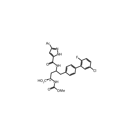 COC(=O)N[C@H](CC(Cc1ccc(-c2cc(Cl)ccc2F)cc1)NC(=O)c1cc(C(C)=O)n[nH]1)C(=O)O